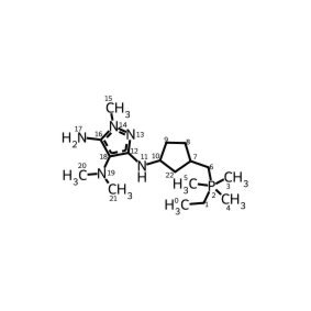 CCP(C)(C)(C)CC1CCC(Nc2nn(C)c(N)c2N(C)C)C1